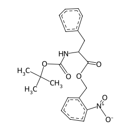 CC(C)(C)OC(=O)NC(Cc1ccccc1)C(=O)OCc1ccccc1[N+](=O)[O-]